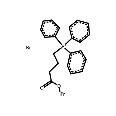 CC(C)OC(=O)CCC[P+](c1ccccc1)(c1ccccc1)c1ccccc1.[Br-]